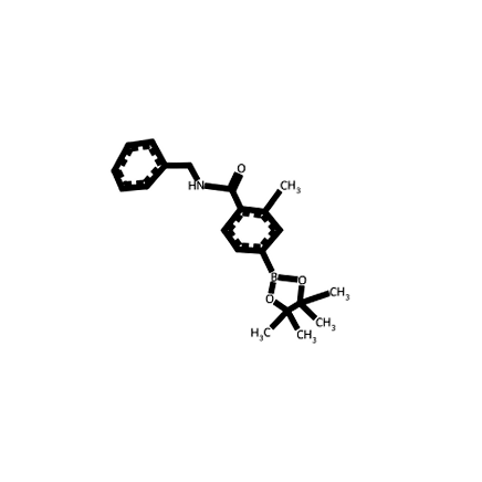 Cc1cc(B2OC(C)(C)C(C)(C)O2)ccc1C(=O)NCc1ccccc1